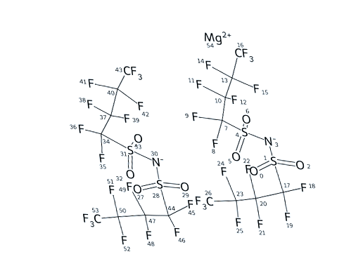 O=S(=O)([N-]S(=O)(=O)C(F)(F)C(F)(F)C(F)(F)C(F)(F)F)C(F)(F)C(F)(F)C(F)(F)C(F)(F)F.O=S(=O)([N-]S(=O)(=O)C(F)(F)C(F)(F)C(F)(F)C(F)(F)F)C(F)(F)C(F)(F)C(F)(F)C(F)(F)F.[Mg+2]